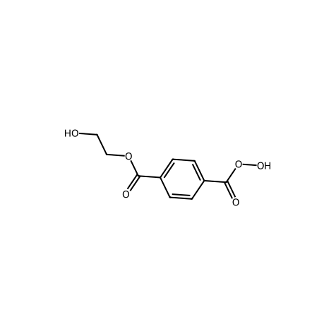 O=C(OO)c1ccc(C(=O)OCCO)cc1